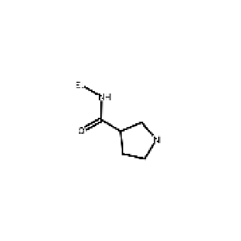 CCNC(=O)C1CCNC1